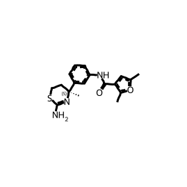 Cc1cc(C(=O)Nc2cccc([C@]3(C)CCSC(N)=N3)c2)c(C)o1